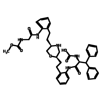 COC(=O)NCC(=O)Nc1ccccc1CC[C@@H]1CO[C@H](CCc2ccccc2NC(=O)[C@@H](NC(=O)O)C(c2ccccc2)c2ccccc2)CN1